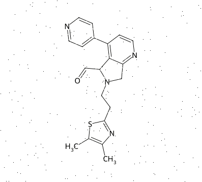 Cc1nc(CCN2Cc3nccc(-c4ccncc4)c3C2C=O)sc1C